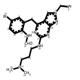 CC(C)Cn1cc2c(Cc3cc(Br)ccc3NC=O)nc(NCCCN(C)C)nc2n1